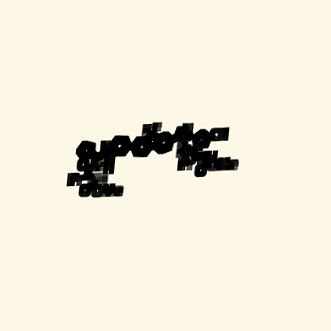 COC(=O)N[C@H](C(=O)N[C@H](c1nc2ccc(-c3ccc4c(c3)C(F)(F)c3cc(-c5cnc([C@@H]6C[C@H](C#N)CN6C(=O)[C@H](NC(=O)OC)C(C)C)[nH]5)ccc3-4)cc2[nH]1)C1CCCC1)C(C)C